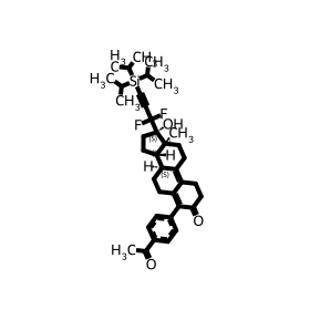 CC(=O)c1ccc(C2=C3CC[C@@H]4C(=C3CCC2=O)CC[C@@]2(C)[C@H]4CC[C@@]2(O)C(F)(F)C#C[Si](C(C)C)(C(C)C)C(C)C)cc1